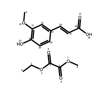 CCOC(=O)C(=O)OC.COc1cc(C=CC(=O)O)ccc1O